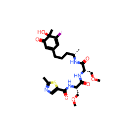 COC[C@H](NC(=O)c1cnc(C)s1)C(=O)N[C@@H](COC)C(=O)N[C@@H](C)CCCC1=CC(=O)C(C)(O)C(I)=C1